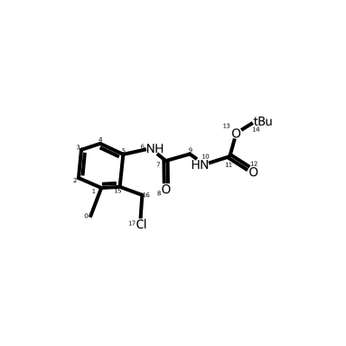 Cc1cccc(NC(=O)CNC(=O)OC(C)(C)C)c1CCl